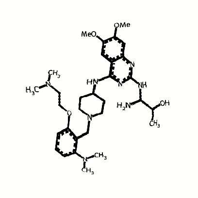 COc1cc2nc(NC(N)C(C)O)nc(NC3CCN(Cc4c(OCCN(C)C)cccc4N(C)C)CC3)c2cc1OC